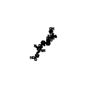 COc1nc(O[C@H]2CCc3c(-c4cccc(-c5cc6c(=N)n(CCN7CC[C@@H](C(=O)O)C7)cc(C#N)c6o5)c4C)cccc32)c(C(F)(F)F)nc1CN1CC[C@@H](O)C1